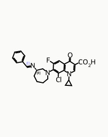 O=C(O)c1cn(C2CC2)c2c(Cl)c(N3CCCC[C@@H](/N=C/c4ccccc4)C3)c(F)cc2c1=O